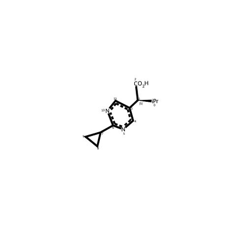 CC(C)[C@H](C(=O)O)c1cnc(C2CC2)nc1